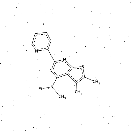 CCN(C)c1nc(-c2ccccn2)nc2sc(C)c(C)c12